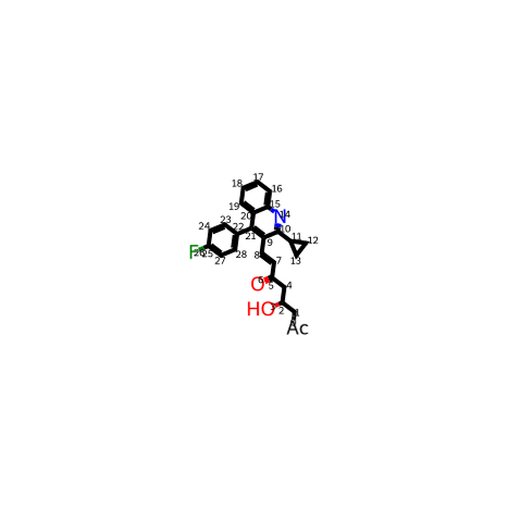 CC(=O)CC(O)CC(=O)/C=C/c1c(C2CC2)nc2ccccc2c1-c1ccc(F)cc1